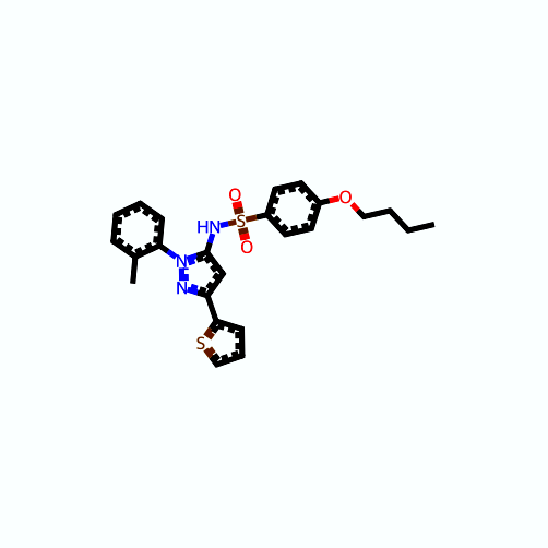 CCCCOc1ccc(S(=O)(=O)Nc2cc(-c3cccs3)nn2-c2ccccc2C)cc1